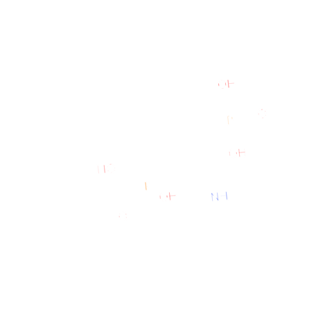 N.O=P(O)(O)CCCP(=O)(O)O